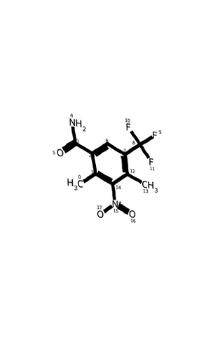 Cc1c(C(N)=O)cc(C(F)(F)F)c(C)c1[N+](=O)[O-]